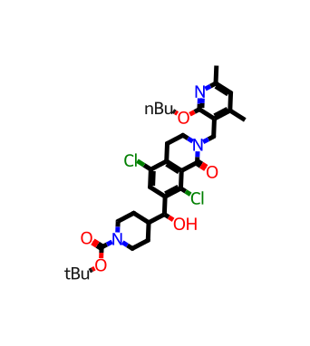 CCCCOc1nc(C)cc(C)c1CN1CCc2c(Cl)cc(C(O)C3CCN(C(=O)OC(C)(C)C)CC3)c(Cl)c2C1=O